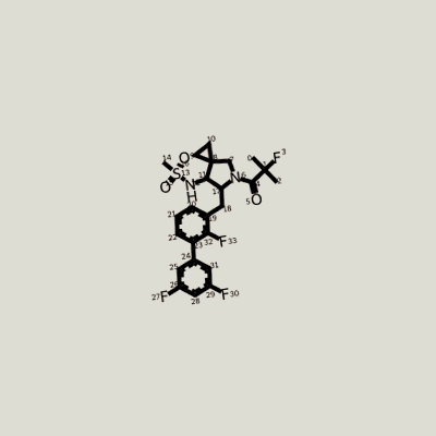 CC(C)(F)C(=O)N1CC2(CC2)C(NS(C)(=O)=O)C1Cc1cccc(-c2cc(F)cc(F)c2)c1F